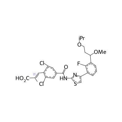 COC(CCOC(C)C)c1cccc(-c2csc(NC(=O)c3cc(Cl)c(/C=C(\C)C(=O)O)c(Cl)c3)n2)c1F